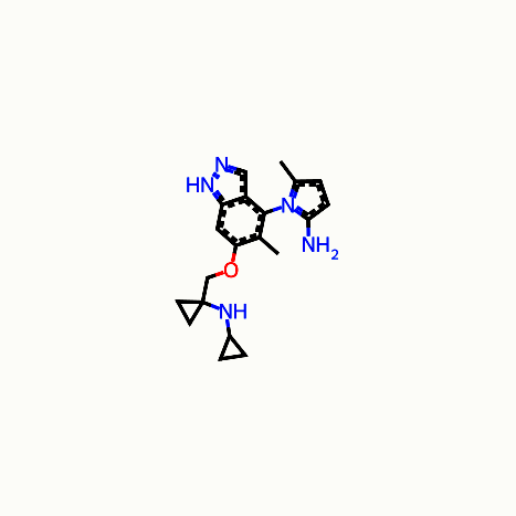 Cc1c(OCC2(NC3CC3)CC2)cc2[nH]ncc2c1-n1c(C)ccc1N